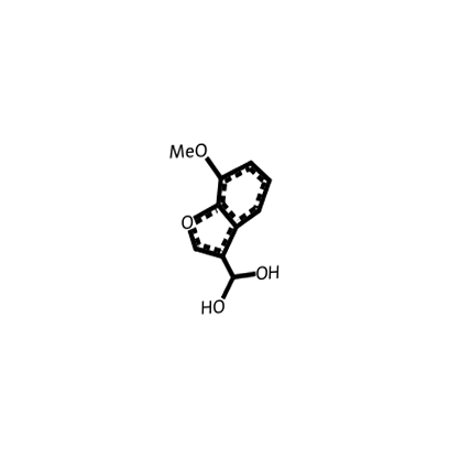 COc1cccc2c(C(O)O)coc12